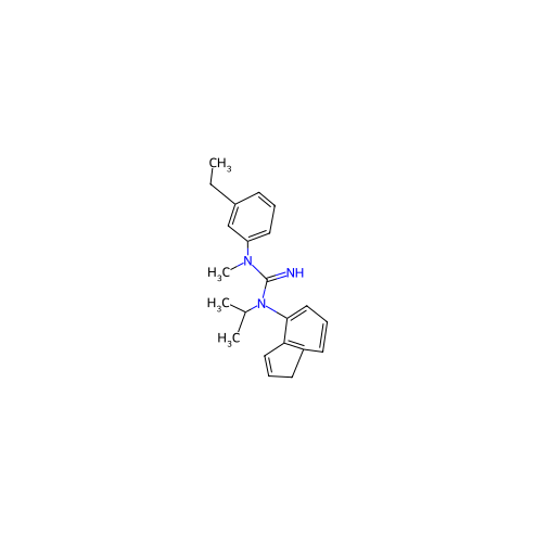 CCc1cccc(N(C)C(=N)N(c2cccc3c2C=CC3)C(C)C)c1